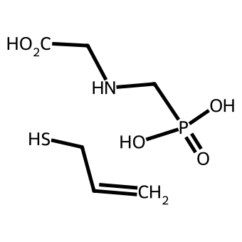 C=CCS.O=C(O)CNCP(=O)(O)O